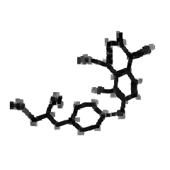 Cc1c[nH]c(=O)c2ccc(OC3CCN(CC(N)CO)CC3)c(F)c12